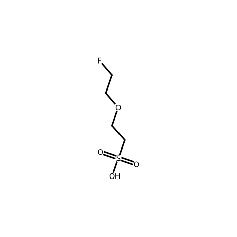 O=S(=O)(O)CCOCCF